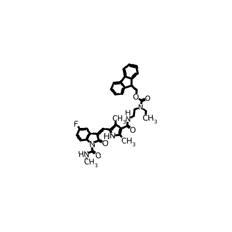 CCN(CCNC(=O)c1c(C)[nH]c(/C=C2\C(=O)N(C(=O)NC)c3ccc(F)cc32)c1C)C(=O)OCC1c2ccccc2-c2ccccc21